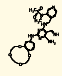 CN(c1cnccc1CNc1nc(Nc2ccc3c(c2)OCCOCCOCCO3)nc(N)c1C=N)S(C)(=O)=O